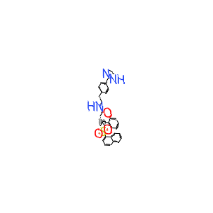 O=C(C[C@@H](CS(=O)(=O)c1cccc2ccccc12)c1ccccc1)NCCc1ccc(C2=NCCN2)cc1